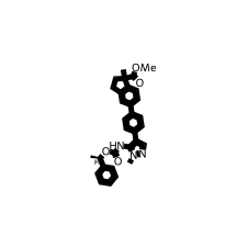 COC(=O)C1(C)CCc2cc(-c3ccc(-c4cnn(C)c4NC(=O)O[C@H](C)c4ccccc4)cc3)ccc21